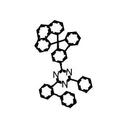 c1ccc(-c2nc(-c3ccc4c(c3)-c3ccccc3C43c4cccc5ccc6cccc3c6c45)nc(-c3ccccc3-c3ccccc3)n2)cc1